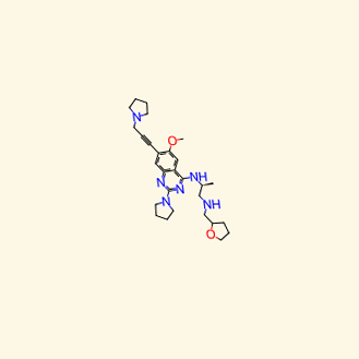 COc1cc2c(N[C@@H](C)CNCC3CCCO3)nc(N3CCCC3)nc2cc1C#CCN1CCCC1